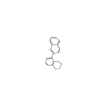 [c]1c(-c2cccc3c2CCCC3)ccc2ccccc12